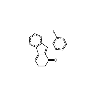 Ic1ccccc1.O=C1C=CC=C2C1=Cc1ccccc12